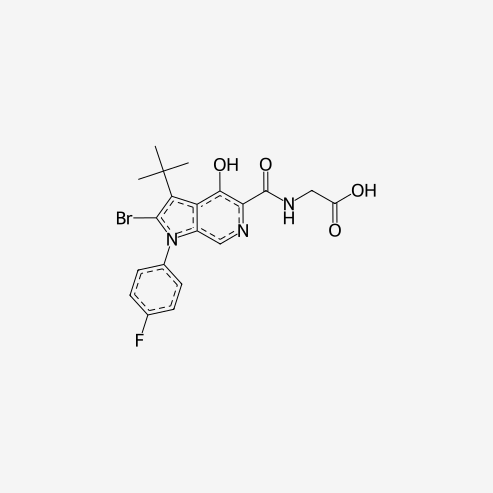 CC(C)(C)c1c(Br)n(-c2ccc(F)cc2)c2cnc(C(=O)NCC(=O)O)c(O)c12